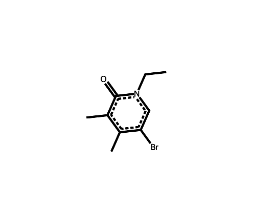 CCn1cc(Br)c(C)c(C)c1=O